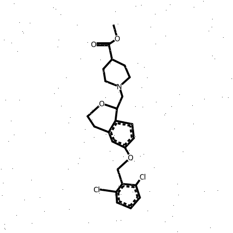 COC(=O)C1CCN(CC2OCCc3cc(OCc4c(Cl)cccc4Cl)ccc32)CC1